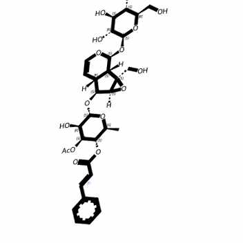 CC(=O)O[C@H]1[C@@H](O)[C@H](O[C@H]2[C@@H]3C=CO[C@@H](O[C@@H]4O[C@H](CO)[C@@H](O)[C@H](O)[C@H]4O)[C@@H]3[C@@]3(CO)O[C@@H]23)O[C@@H](C)[C@@H]1OC(=O)/C=C/c1ccccc1